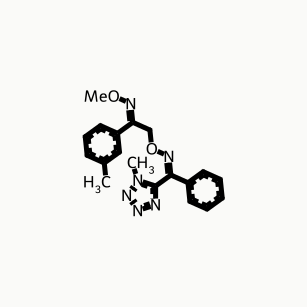 CO/N=C(/CO/N=C(/c1ccccc1)c1nnnn1C)c1cccc(C)c1